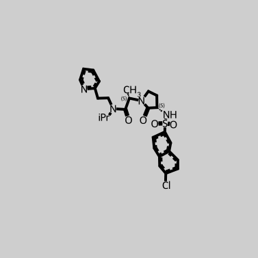 CC(C)N(CCc1ccccn1)C(=O)[C@H](C)N1CC[C@H](NS(=O)(=O)c2ccc3cc(Cl)ccc3c2)C1=O